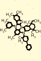 CCC1(C)CCC(C)(C)C2CC3=C(C=C21)B1c2sc4cc(C)c(C)cc4c2N(c2cc(C)cc(C)c2)c2cc(C)cc(c21)N3C1=C(C)CC(c2ccccc2)C=C1